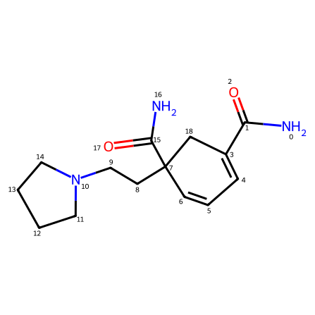 NC(=O)C1=CC=CC(CCN2CCCC2)(C(N)=O)C1